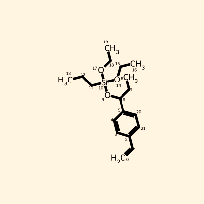 C=Cc1ccc(C(CC)O[Si](CCC)(OCC)OCC)cc1